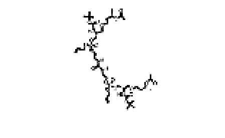 C=CCOP(=O)(OCCNC(=O)NCCOP(=O)(OCC=C)OC[C@@H](COCC[C@@H](C)OC(C)=O)NC(=O)OC(C)(C)C)OC[C@@H](COCC[C@@H](C)OC(C)=O)NC(=O)OC(C)(C)C